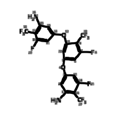 Nc1cc(Oc2cc(F)c(C(F)(F)F)c(Oc3cc(N)c(C(F)(F)F)c(F)c3)c2)cc(F)c1C(F)(F)F